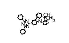 CC1(C)c2sccc2-n2c3ccc(-c4nc(-c5ccccc5)nc(-c5ccccc5)n4)cc3c3cccc1c32